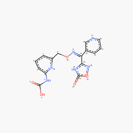 O=C(O)Nc1cccc(CO/N=C(/c2cccnc2)c2noc(=O)[nH]2)n1